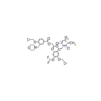 C=C/C(Cl)=C(C[C@H](OC(=O)COC(=O)c1ccc(OCC2CC2)c(CN2CCOCC2)c1)c1ccc(OC(F)F)c(OCC2CC2)c1)\C(Cl)=C/C